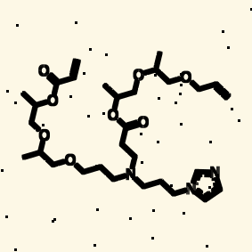 C=CCOCC(C)OCC(C)OC(=O)CCN(CCCOCC(C)OCC(C)OC(=O)C=C)CCCn1ccnc1